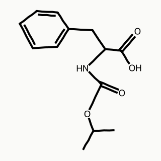 CC(C)OC(=O)NC(Cc1ccccc1)C(=O)O